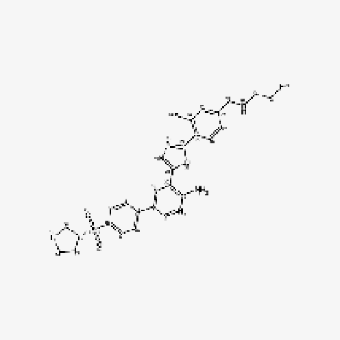 Nc1ncc(-c2ccc(S(=O)(=O)[C@@H]3CCOC3)cc2)nc1-c1nnc(-c2ccc(CNCCF)cc2F)o1